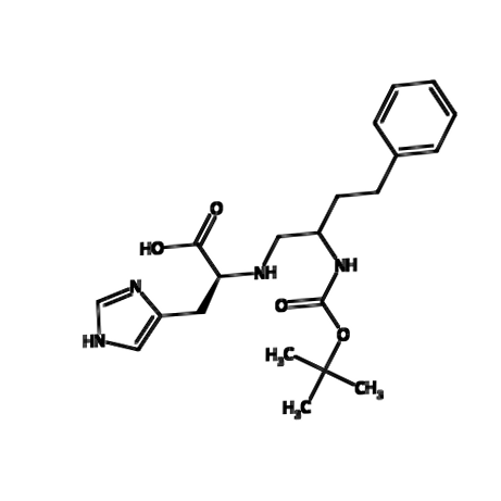 CC(C)(C)OC(=O)NC(CCc1ccccc1)CN[C@@H](Cc1c[nH]cn1)C(=O)O